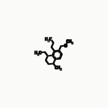 CCCc1c(COC)ccc2c1C(CC)CCC2C